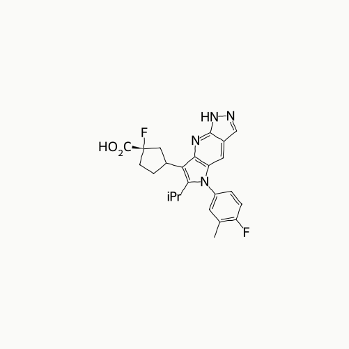 Cc1cc(-n2c(C(C)C)c(C3CC[C@@](F)(C(=O)O)C3)c3nc4[nH]ncc4cc32)ccc1F